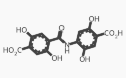 O=C(O)c1cc(O)c(NC(=O)c2cc(O)c(C(=O)O)cc2O)cc1O